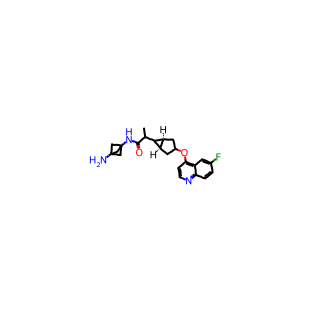 CC(C(=O)NC12CC(N)(C1)C2)C1[C@H]2CC(Oc3ccnc4ccc(F)cc34)C[C@@H]12